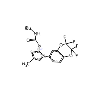 CCC(C)NC(=O)/N=c1\sc(C)cn1-c1ccc2c(c1)OC(F)(F)C(F)(F)O2